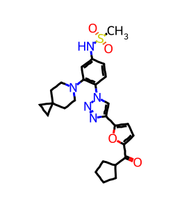 CS(=O)(=O)Nc1ccc(-n2cc(-c3ccc(C(=O)C4CCCC4)o3)nn2)c(N2CCC3(CC2)CC3)c1